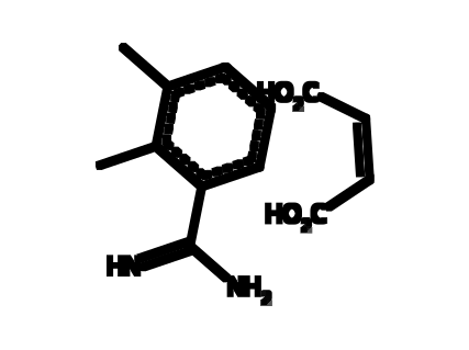 Cc1cccc(C(=N)N)c1C.O=C(O)/C=C\C(=O)O